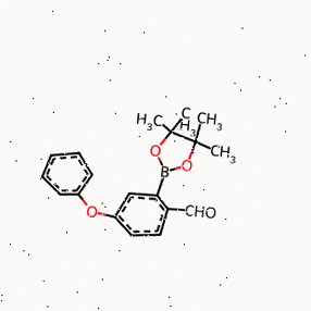 CC1(C)OB(c2cc(Oc3ccccc3)ccc2C=O)OC1(C)C